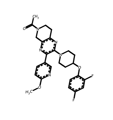 COc1ccc(-c2nc3c(nc2N2CCC(Oc4ccc(F)cc4F)CC2)CCN(C(C)=O)C3)cn1